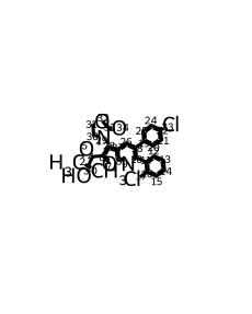 CC(C)(O)C(=O)c1oc2nc(-c3ccccc3Cl)c(-c3ccc(Cl)cc3)cc2c1N1CCOC1=O